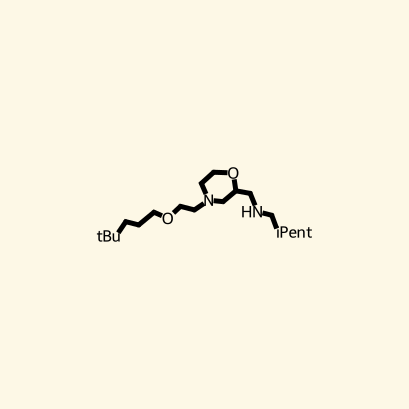 CCCC(C)CNCC1CN(CCOCCCC(C)(C)C)CCO1